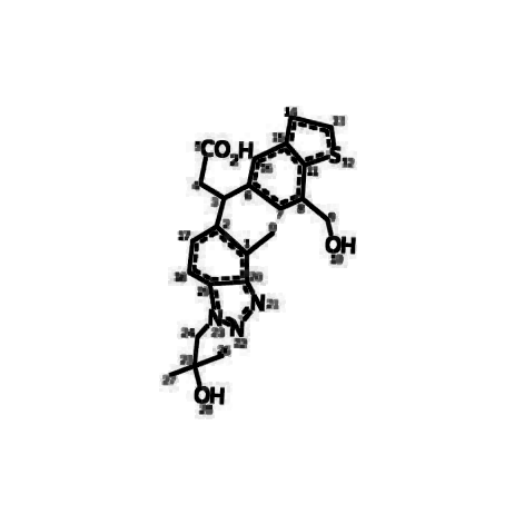 Cc1c(C(CC(=O)O)c2cc(CO)c3sccc3c2)ccc2c1nnn2CC(C)(C)O